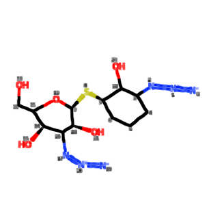 [N-]=[N+]=NC1CCC[C@@H](S[C@@H]2OC(CO)[C@H](O)C(N=[N+]=[N-])[C@@H]2O)C1O